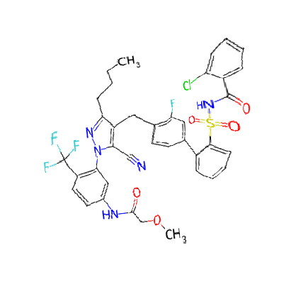 CCCCc1nn(-c2cc(NC(=O)COC)ccc2C(F)(F)F)c(C#N)c1Cc1ccc(-c2ccccc2S(=O)(=O)NC(=O)c2ccccc2Cl)cc1F